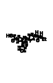 CCNC(=O)Nc1ccc(-c2nc3c(c(N4CCOC[C@@H]4C)n2)CN(C(=O)CO)C3)cc1